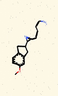 COc1ccc2c(c1)CC(C1N=C1/C=C\C=C/N)C2